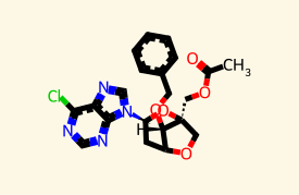 CC(=O)OC[C@@]12COC(C[C@@H](n3cnc4c(Cl)ncnc43)O1)[C@@H]2OCc1ccccc1